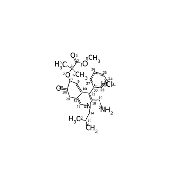 COC(=O)C(C)(C)OC1C=C2C(=CN(CC(C)C)C(CN)=C2c2ccccc2)CC1=O.Cl